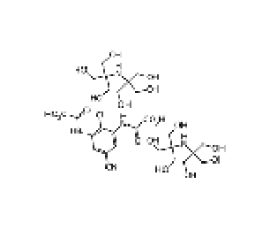 N#Cc1cc(NC(=O)C(=O)O)c(Cl)c(NC(=O)C(=O)O)c1.OCC(CO)(CO)NC(CO)(CO)CO.OCC(CO)(CO)NC(CO)(CO)CO